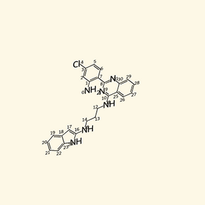 Nc1cc(Cl)ccc1-c1nc(NCCCNc2cc3ccccc3[nH]2)c2ccccc2n1